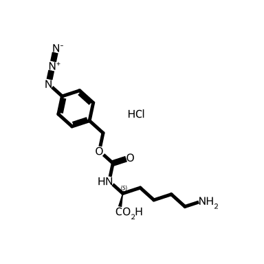 Cl.[N-]=[N+]=Nc1ccc(COC(=O)N[C@@H](CCCCN)C(=O)O)cc1